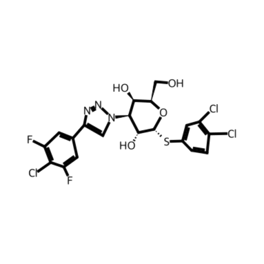 OC[C@H]1O[C@H](Sc2ccc(Cl)c(Cl)c2)[C@H](O)[C@@H](n2cc(-c3cc(F)c(Cl)c(F)c3)nn2)[C@H]1O